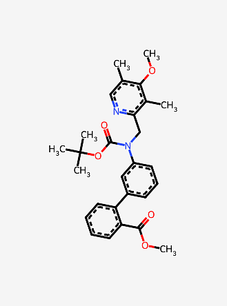 COC(=O)c1ccccc1-c1cccc(N(Cc2ncc(C)c(OC)c2C)C(=O)OC(C)(C)C)c1